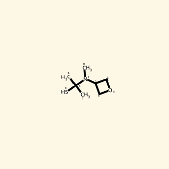 CN(C1COC1)C(C)(C)S